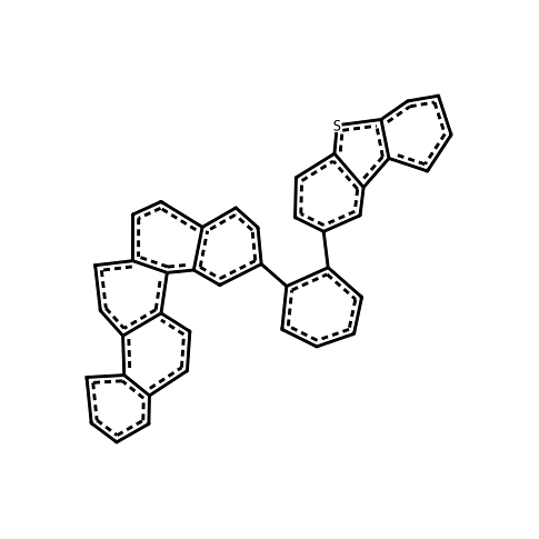 c1ccc(-c2ccc3ccc4ccc5c6ccccc6ccc5c4c3c2)c(-c2ccc3sc4ccccc4c3c2)c1